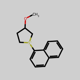 COC1CC[S+](c2cccc3ccccc23)C1